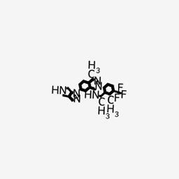 Cc1c([C@@H](C)Nc2nnc(C)c3ccc(-n4ncc5c4CNC5)cc23)cccc1C(F)(F)F